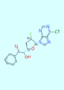 O=C(c1ccccc1)C(O)[C@@H]1C[C@@H](F)[C@H](n2cnc3c(Cl)ncnc32)O1